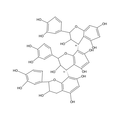 Oc1cc(O)c2c(c1)OC(c1ccc(O)c(O)c1)C(O)[C@H]2c1c(O)cc(O)c2c1OC(c1ccc(O)c(O)c1)C(O)[C@H]2c1c(O)cc(O)c2c1OC(c1ccc(O)c(O)c1)C(O)C2